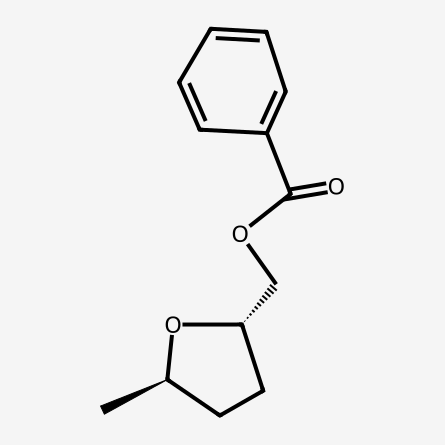 C[C@@H]1CC[C@@H](COC(=O)c2ccccc2)O1